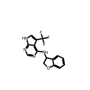 FC(F)(F)c1c[nH]c2ncnc(NC3COc4ccccc43)c12